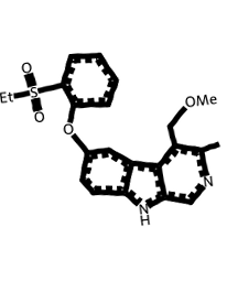 CCS(=O)(=O)c1ccccc1Oc1ccc2[nH]c3cnc(C)c(COC)c3c2c1